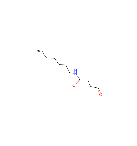 C=CCCCCCNC(=O)CCC=O